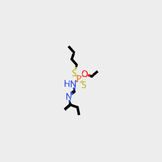 CCCCSP(=S)(NC=NC(C)CC)OCC